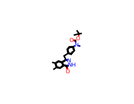 Cc1cc2c(Cc3ccc(N(C)C(=O)OC(C)(C)C)cc3)n[nH]c(=O)c2cc1C